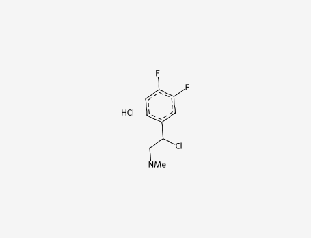 CNCC(Cl)c1ccc(F)c(F)c1.Cl